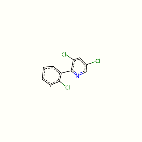 Clc1cnc(-c2ccc[c]c2Cl)c(Cl)c1